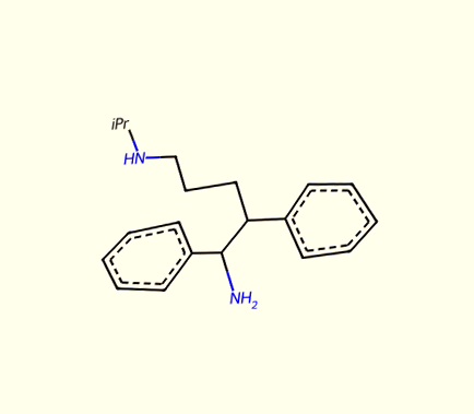 CC(C)NCCCC(c1ccccc1)C(N)c1ccccc1